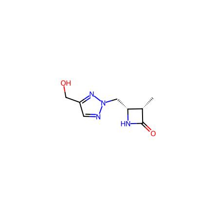 C[C@@H]1C(=O)N[C@@H]1Cn1ncc(CO)n1